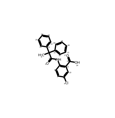 CC(C(=O)Nc1ccc(Cl)cc1C(=O)O)(c1ccccc1)c1ccccc1